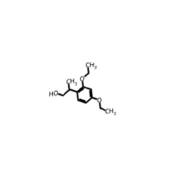 CCOc1ccc([C](C)CO)c(OCC)c1